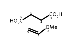 C=COC.O=C(O)CCC(=O)O